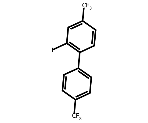 FC(F)(F)c1ccc(-c2ccc(C(F)(F)F)cc2I)cc1